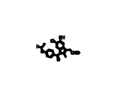 Cc1c(C[C]=O)c2cc(O)c(Cl)cc2n1C(=O)c1ccc(OC(F)F)cc1